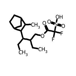 CCC(COC(=O)C(F)(F)S(=O)(=O)O)C(CC)C1C2CCC(C2)C1C